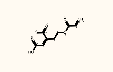 C=CC(=O)OCCC(=CC(=O)O)C(=O)O